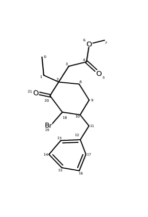 CCC1(CC(=O)OC)CCC(Cc2ccccc2)C(Br)C1=O